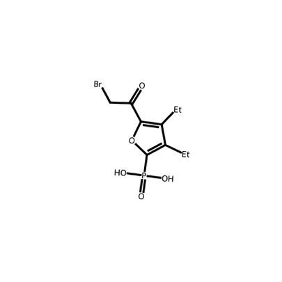 CCc1c(C(=O)CBr)oc(P(=O)(O)O)c1CC